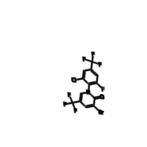 O=c1c(Br)cc(C(F)(F)F)cn1-c1c(F)cc(C(F)(F)F)cc1Cl